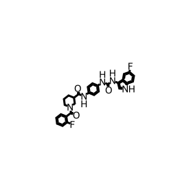 O=C(Nc1ccc(NC(=O)C2CCCN(C(=O)c3ccccc3F)C2)cc1)Nc1c[nH]c2ccc(F)cc12